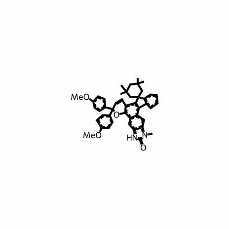 COc1ccc(C2(c3ccc(OC)cc3)C=Cc3c4c(c5cc6c(cc5c3O2)[nH]c(=O)n6C)-c2ccccc2C42CC(C)(C)CC(C)(C)C2)cc1